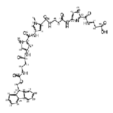 Cn1cc(NC(=O)c2nc(NC(=O)CCNC(=O)OCC3c4ccccc4-c4ccccc43)cn2C)cc1C(=O)NCCC(=O)Nc1cn(C)c(C(=O)NCCC(=O)O)n1